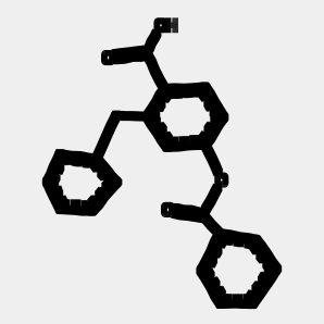 O=C(Oc1ccc(C(=O)O)c(Cc2ccccc2)c1)c1ccccc1